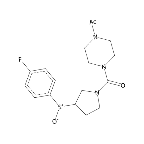 CC(=O)N1CCN(C(=O)N2CCC([S+]([O-])c3ccc(F)cc3)C2)CC1